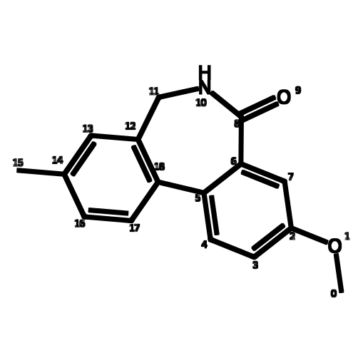 COc1ccc2c(c1)C(=O)NCc1cc(C)ccc1-2